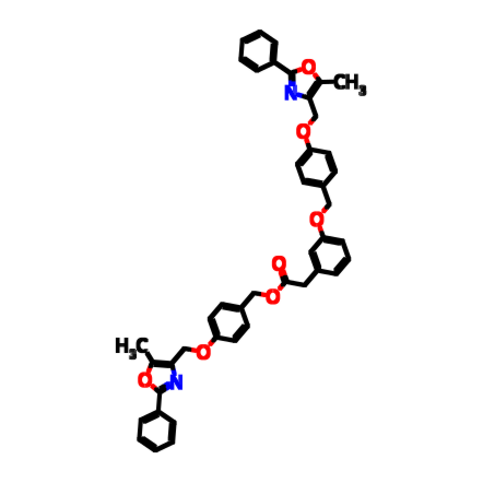 Cc1oc(-c2ccccc2)nc1COc1ccc(COC(=O)Cc2cccc(OCc3ccc(OCc4nc(-c5ccccc5)oc4C)cc3)c2)cc1